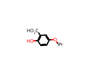 CC(C)Oc1ccc(O)c(C(=O)O)c1